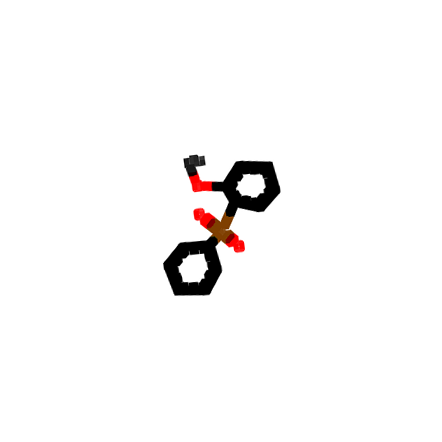 CCCCOc1ccccc1S(=O)(=O)c1ccccc1